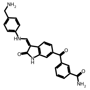 NCc1ccc(NC=C2C(=O)Nc3cc(C(=O)c4cccc(C(N)=O)c4)ccc32)cc1